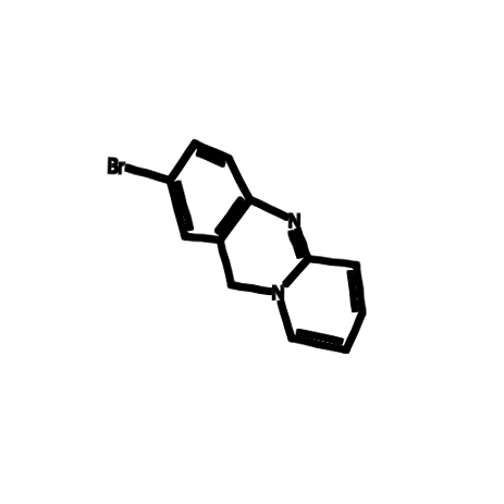 Brc1ccc2c(c1)CN1C=CC=CC1=N2